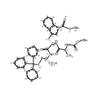 C[C@H](NC(=O)OC(C)(C)C)C(=O)N[C@@H](Cc1cn(C(=O)OC(C)(C)C)c2ccccc12)C(=O)N[C@@H](CSC(c1ccccc1)(c1ccccc1)c1ccccc1)C(=O)O